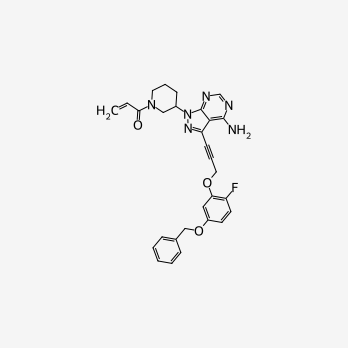 C=CC(=O)N1CCCC(n2nc(C#CCOc3cc(OCc4ccccc4)ccc3F)c3c(N)ncnc32)C1